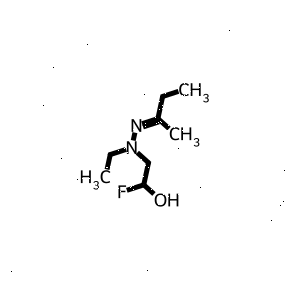 CC/C(C)=N/N(CC)CC(O)F